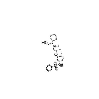 O=S(=O)(Nc1ccc2c(c1)OC(CN[C@@H](CO)c1ccccc1)CC2)c1ccccc1